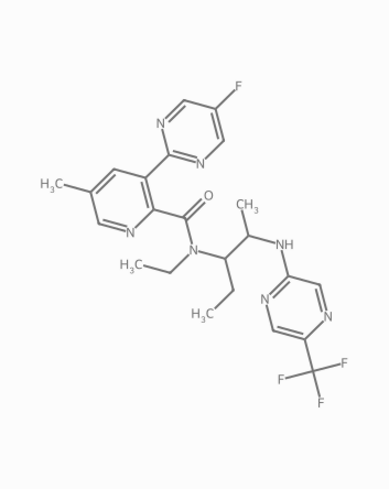 CCC(C(C)Nc1cnc(C(F)(F)F)cn1)N(CC)C(=O)c1ncc(C)cc1-c1ncc(F)cn1